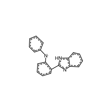 c1ccc([N]c2ccccc2-c2nc3ccccc3[nH]2)cc1